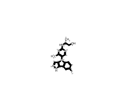 Cc1nc(N[C@H](C)CO)ncc1-n1c2ccc(F)cc2c2[nH]ncc21